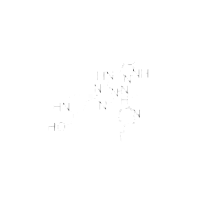 Cc1cc(NC2N=C(C3CCNC(CO)C3)N=CN2NC(C)c2ccc(F)cn2)n[nH]1